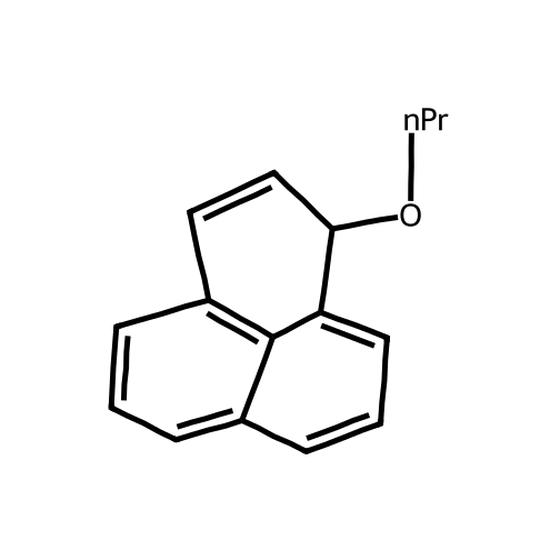 CCCOC1C=Cc2cccc3cccc1c23